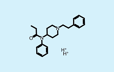 CCC(=O)N(c1ccccc1)C1CCN(CCc2ccccc2)CC1.[H+].[H+]